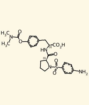 CN(C)C(=O)Oc1ccc(C[C@H](NC(=O)[C@@H]2CCCN2S(=O)(=O)c2ccc(N)cc2)C(=O)O)cc1